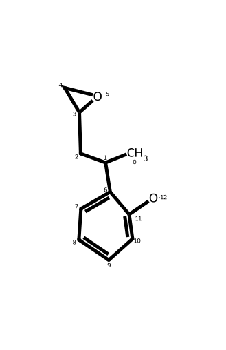 CC(CC1CO1)c1ccccc1[O]